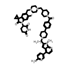 C[C@@H](c1cc2c(-c3ccc(N)nc3)ccnc2n1C)N1CCC(c2ccc(C(=O)N3CCC(CN4CCN(Cc5cc6c(cc5F)N(C5CCC(=O)NC5=O)C(=O)C65CC5)CC4)CC3)cc2)CC1